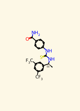 C[C@H](NC(=S)Nc1ccc(C(N)=O)cc1)c1cc(C(F)(F)F)cc(C(F)(F)F)c1